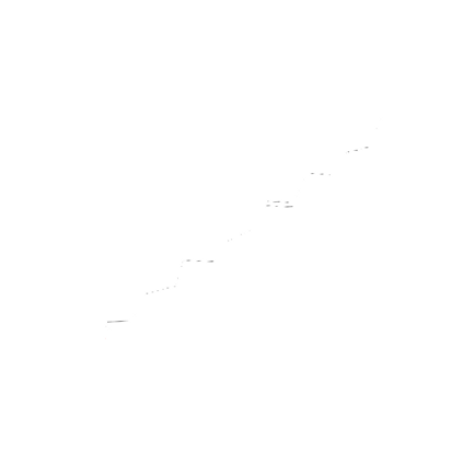 CCCCCC=CCC=CCCCCC=O